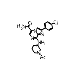 CC(=O)N1CCC[C@H](Nc2ncc(C(N)=O)n3cc(-c4ccc(Cl)cc4)nc23)C1